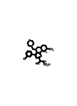 C=Nc1nc(C(=N)NC(=O)O)nc(-c2cccc(Cl)c2)c1N(CC1CCC(C)CC1)CN1CCOCC1